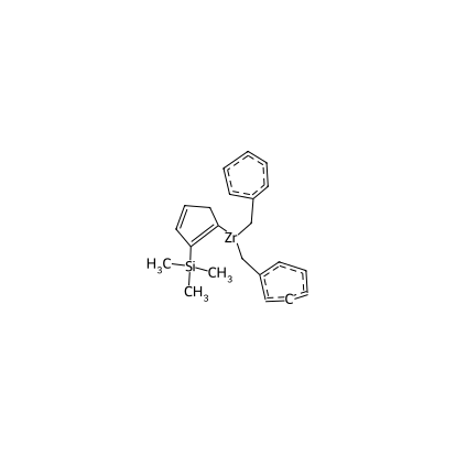 C[Si](C)(C)C1=[C]([Zr]([CH2]c2ccccc2)[CH2]c2ccccc2)CC=C1